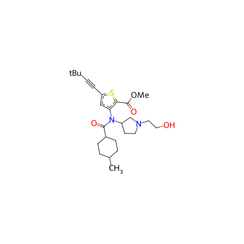 COC(=O)c1sc(C#CC(C)(C)C)cc1N(C(=O)C1CCC(C)CC1)C1CCN(CCO)C1